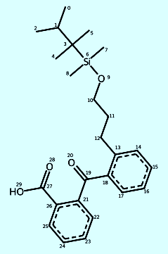 CC(C)C(C)(C)[Si](C)(C)OCCCc1ccccc1C(=O)c1ccccc1C(=O)O